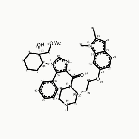 COC[C@]1(O)CCCC[C@H]1n1cnc(C(=O)N2CCNC[C@H]2CCOc2ccc3cc(C)n(C)c3c2)c1-c1ccccc1